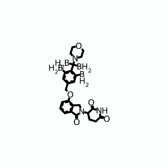 Bc1cc(COc2cccc3c2CN(C2CCC(=O)NC2=O)C3=O)cc(B)c1C(B)(B)N1CCOCC1